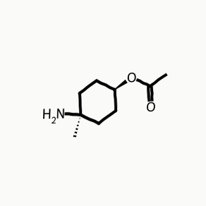 CC(=O)O[C@H]1CC[C@@](C)(N)CC1